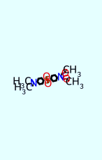 CCN(CC)c1ccc(S(=O)(=O)c2ccc(N(COC)COC)cc2)cc1